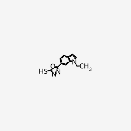 CCn1ccc2ccc(-c3nnc(S)o3)cc21